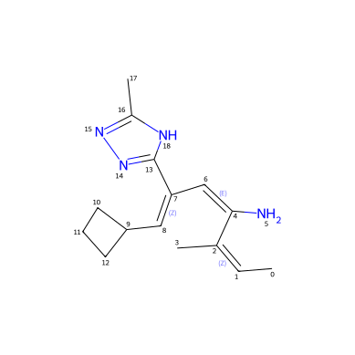 C\C=C(C)/C(N)=C\C(=C\C1CCC1)c1nnc(C)[nH]1